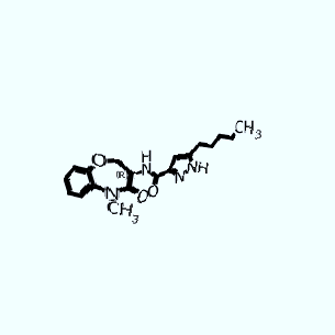 CCCCCc1cc(C(=O)N[C@@H]2COc3ccccc3N(C)C2=O)n[nH]1